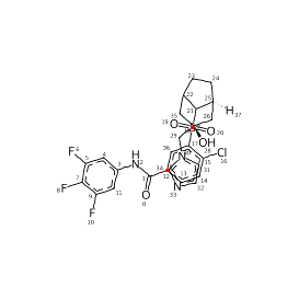 O=C(Nc1cc(F)c(F)c(F)c1)c1ccc(Cl)c(S(=O)(=O)C2C3CC[C@H]2C[C@](O)(Cn2ccnc2)C3)c1